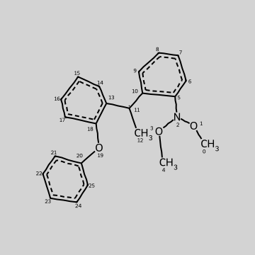 CON(OC)c1ccccc1[C](C)c1ccccc1Oc1ccccc1